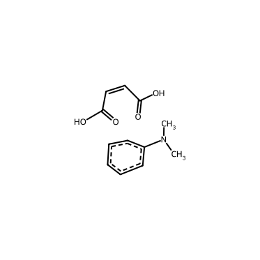 CN(C)c1ccccc1.O=C(O)/C=C\C(=O)O